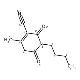 CCCCN1C(=O)CC(C)=C(C#N)C1=O